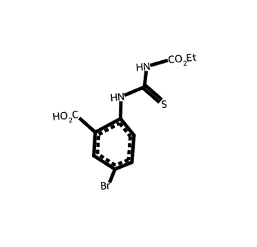 CCOC(=O)NC(=S)Nc1ccc(Br)cc1C(=O)O